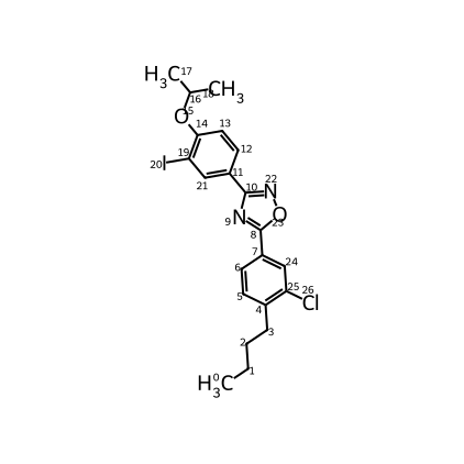 CCCCc1ccc(-c2nc(-c3ccc(OC(C)C)c(I)c3)no2)cc1Cl